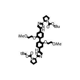 COCCOc1cc(-c2cnc([C@@H]3CCCN3C(=O)OC(C)(C)C)[nH]2)ccc1-c1ccc(-c2cnc([C@@H]3CCCN3C(=O)OC(C)(C)C)[nH]2)cc1OCCOC